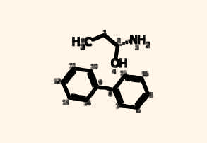 CC[C@H](N)O.c1ccc(-c2ccccc2)cc1